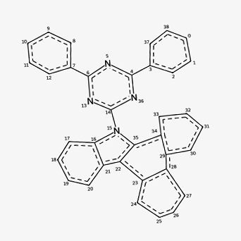 c1ccc(-c2nc(-c3ccccc3)nc(-n3c4ccccc4c4c5ccccc5c5ccccc5c43)n2)cc1